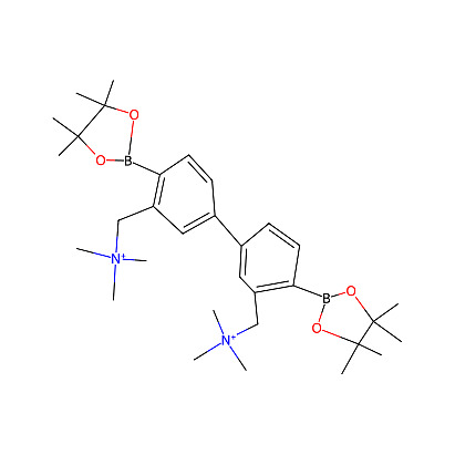 CC1(C)OB(c2ccc(-c3ccc(B4OC(C)(C)C(C)(C)O4)c(C[N+](C)(C)C)c3)cc2C[N+](C)(C)C)OC1(C)C